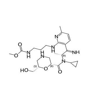 COC(=O)NCCCNc1nc(C)ccc1C(=N)[C@@H](C)N(C(=O)[C@H]1CNC[C@@H](CO)O1)C1CC1